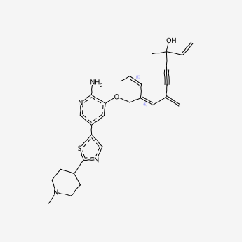 C=CC(C)(O)C#CC(=C)/C=C(\C=C/C)COc1cc(-c2cnc(C3CCN(C)CC3)s2)cnc1N